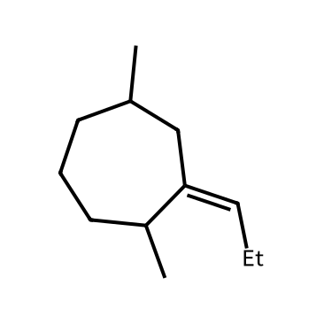 CCC=C1CC(C)CCCC1C